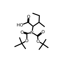 CCC(C)C(C(=O)O)N(C(=O)OC(C)(C)C)C(=O)OC(C)(C)C